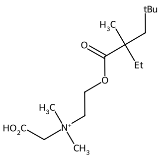 CCC(C)(CC(C)(C)C)C(=O)OCC[N+](C)(C)CC(=O)O